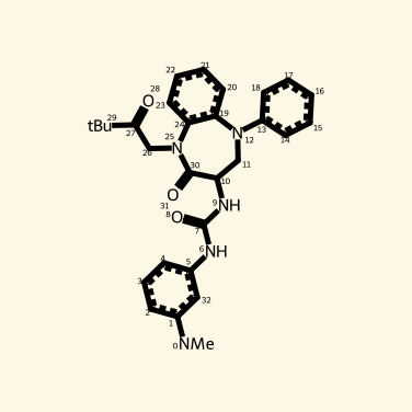 CNc1cccc(NC(=O)NC2CN(c3ccccc3)c3ccccc3N(CC(=O)C(C)(C)C)C2=O)c1